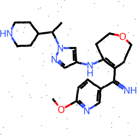 COc1ccc(C(=N)C2=C(Nc3cnn(C(C)C4CCNCC4)c3)CCOCC2)cn1